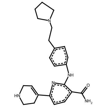 NC(=O)c1ccc(C2=CCNCC2)nc1Nc1ccc(CCN2CCCC2)cc1